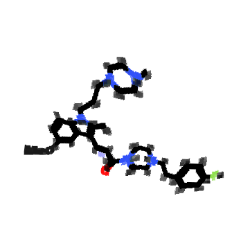 COc1ccc2c(c1)c(/C=C/C(=O)N1CCN(CCc3ccc(F)cc3)CC1)c(C)n2CCCN1CCN(C)CC1